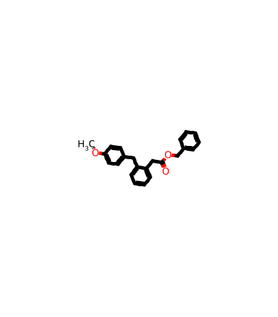 COc1ccc(Cc2ccccc2CC(=O)OCc2ccccc2)cc1